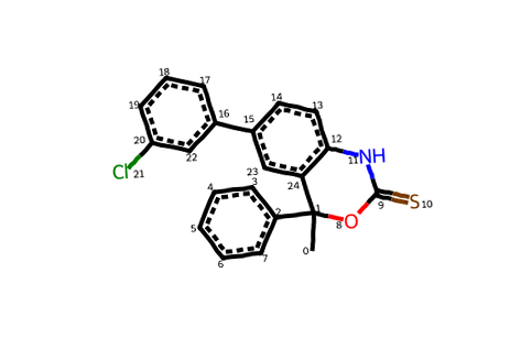 CC1(c2ccccc2)OC(=S)Nc2ccc(-c3cccc(Cl)c3)cc21